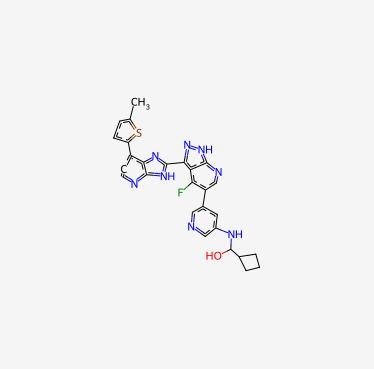 Cc1ccc(-c2ccnc3[nH]c(-c4n[nH]c5ncc(-c6cncc(NC(O)C7CCC7)c6)c(F)c45)nc23)s1